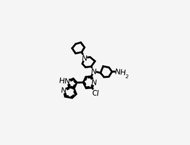 NC1CCC(N(c2cc(-c3c[nH]c4ncccc34)cc(Cl)n2)C2CCN(C3CCCCC3)CC2)CC1